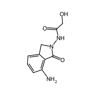 Nc1cccc2c1C(=O)N(NC(=O)CO)C2